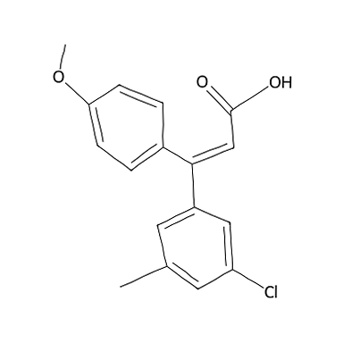 COc1ccc(/C(=C\C(=O)O)c2cc(C)cc(Cl)c2)cc1